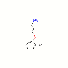 N#Cc1ccccc1OCCCN